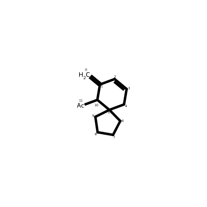 C=C1C=CCC2(CCCC2)C1C(C)=O